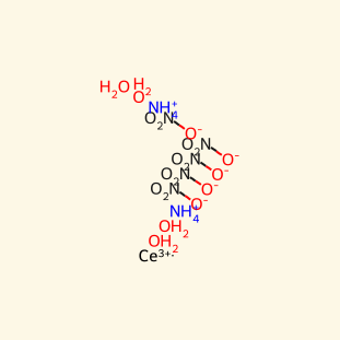 O.O.O.O.O=[N+]([O-])[O-].O=[N+]([O-])[O-].O=[N+]([O-])[O-].O=[N+]([O-])[O-].O=[N+]([O-])[O-].[Ce+3].[NH4+].[NH4+]